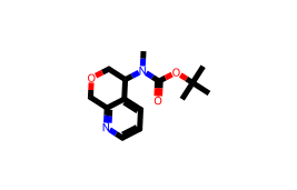 CN(C(=O)OC(C)(C)C)C1COCc2ncccc21